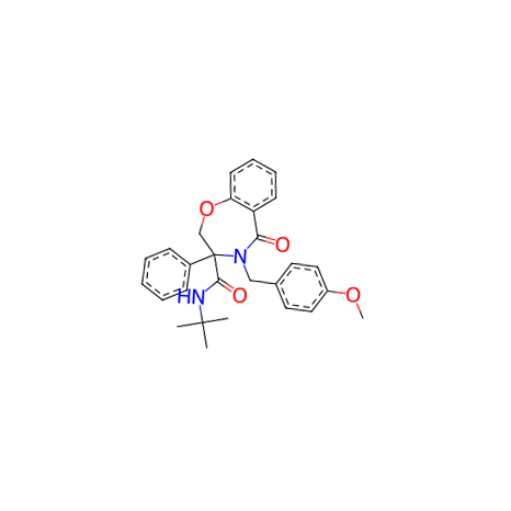 COc1ccc(CN2C(=O)c3ccccc3OCC2(C(=O)NC(C)(C)C)c2ccccc2)cc1